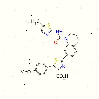 COc1ccc(-c2sc(-c3ccc4c(c3)N(C(=O)Nc3ncc(C)s3)CCC4)nc2C(=O)O)cc1